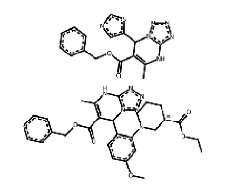 CC1=C(C(=O)OCc2ccccc2)C(c2cncs2)n2nnnc2N1.CCOC(=O)[C@@H]1CCCN(c2cc(OC)ccc2C2C(C(=O)OCc3ccccc3)=C(C)Nc3nnnn32)C1